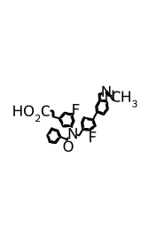 Cn1ncc2cc(-c3ccc(CN(C(=O)c4ccccc4)c4cc(F)cc(C=CC(=O)O)c4)c(F)c3)ccc21